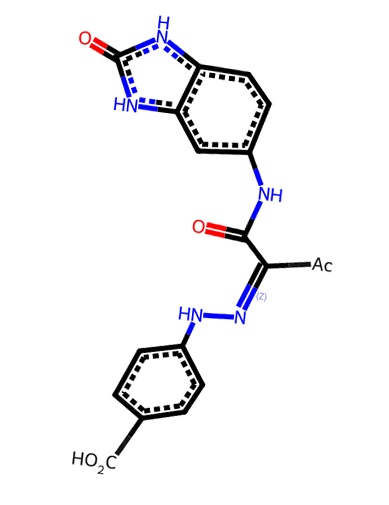 CC(=O)/C(=N/Nc1ccc(C(=O)O)cc1)C(=O)Nc1ccc2[nH]c(=O)[nH]c2c1